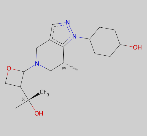 C[C@@H]1CN(C2OCC2[C@@](C)(O)C(F)(F)F)Cc2cnn(C3CCC(O)CC3)c21